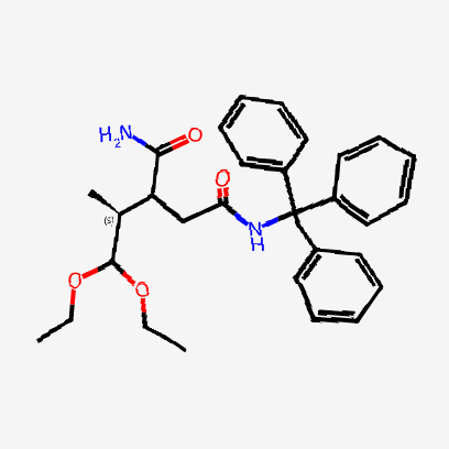 CCOC(OCC)[C@@H](C)C(CC(=O)NC(c1ccccc1)(c1ccccc1)c1ccccc1)C(N)=O